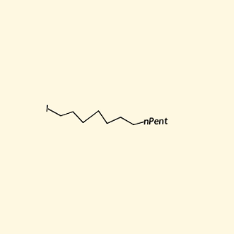 [CH2]CCCCCCCCCCCI